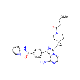 COCCC(=O)N1CCC2(CC1)CC2c1nc(-c2ccc(C(=O)Nc3ccccn3)cc2)c2c(N)nccn12